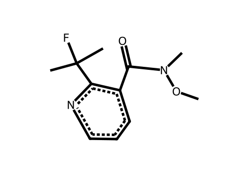 CON(C)C(=O)c1cccnc1C(C)(C)F